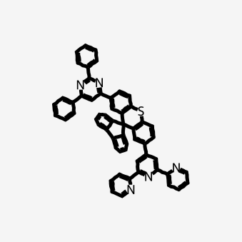 c1ccc(-c2cc(-c3ccc4c(c3)C3(c5cc(-c6cc(-c7ccccn7)nc(-c7ccccn7)c6)ccc5S4)c4ccccc4-c4ccccc43)nc(-c3ccccc3)n2)cc1